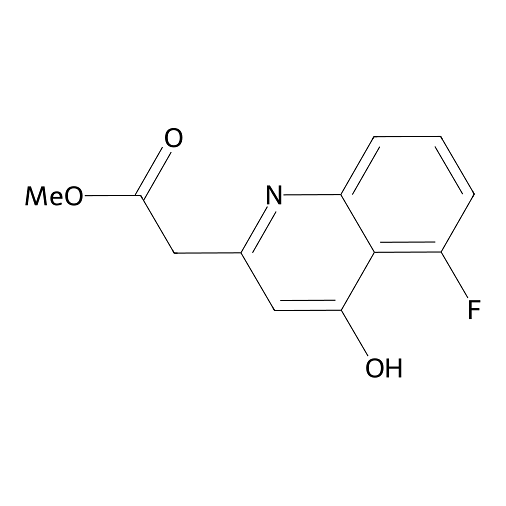 COC(=O)Cc1cc(O)c2c(F)cccc2n1